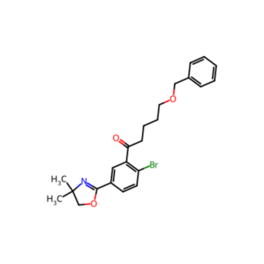 CC1(C)COC(c2ccc(Br)c(C(=O)CCCCOCc3ccccc3)c2)=N1